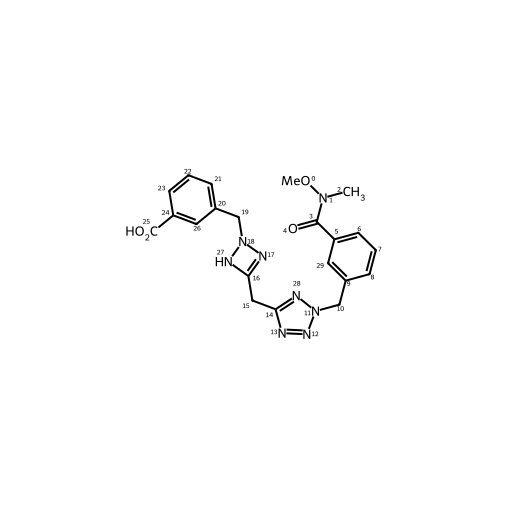 CON(C)C(=O)c1cccc(Cn2nnc(Cc3nn(Cc4cccc(C(=O)O)c4)[nH]3)n2)c1